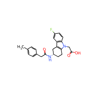 Cc1ccc(CC(=O)N[C@H]2CCc3c(c4cc(F)ccc4n3CC(=O)O)C2)cc1